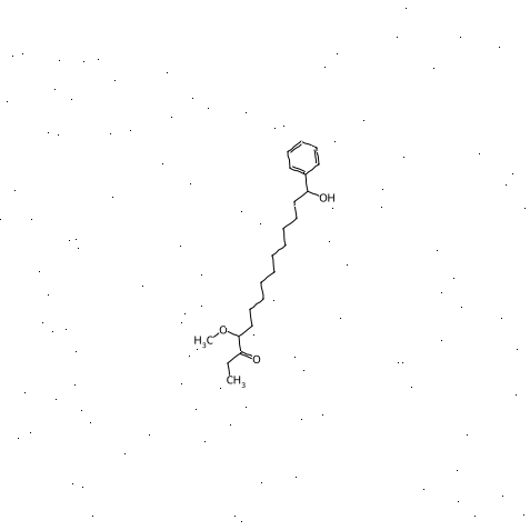 CCC(=O)C(CCCCCCCCCCC(O)c1ccccc1)OC